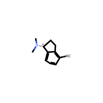 [C-]#[N+]c1cccc2c1CC[C@H]2N(C)C